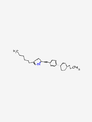 CCCCCCc1ccc(C#Cc2ccc([C@H]3CC[C@H](CCC)CC3)cc2)nc1